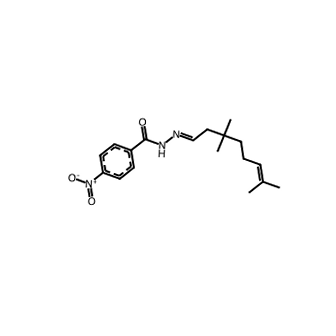 CC(C)=CCCC(C)(C)C/C=N/NC(=O)c1ccc([N+](=O)[O-])cc1